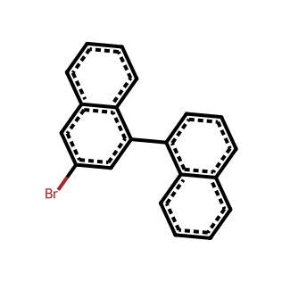 Brc1cc(-c2cccc3ccccc23)c2ccccc2c1